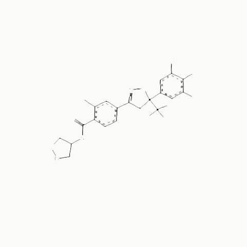 Cc1cc(C2=NOC(c3cc(Cl)c(F)c(Cl)c3)(C(F)(F)F)C2)ccc1C(=O)NC1CNOC1